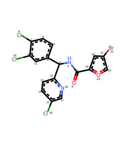 O=C(NC(c1ccc(Cl)c(Cl)c1)c1ccc(Cl)cn1)c1cc(Br)co1